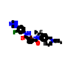 Cc1cc(CN(C)C)ccc1NC(=O)c1ccc(C(=O)Nc2ccc(-n3cncn3)c(F)c2)s1